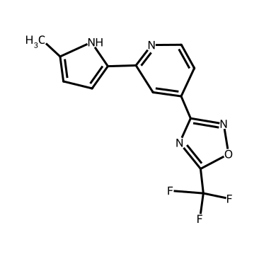 Cc1ccc(-c2cc(-c3noc(C(F)(F)F)n3)ccn2)[nH]1